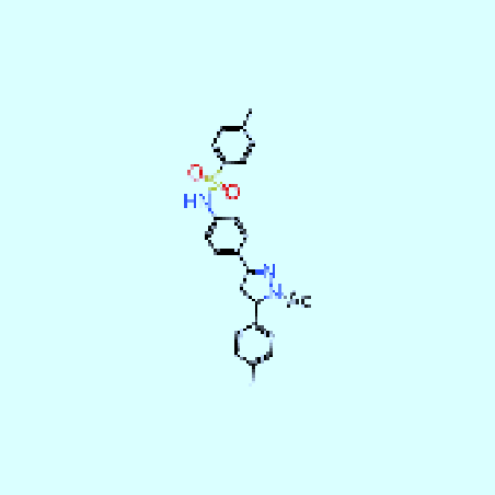 CC(=O)N1N=C(c2ccc(NS(=O)(=O)c3ccc(C)cc3)cc2)CC1c1ccc(C)cc1